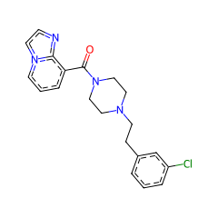 O=C(c1cccn2ccnc12)N1CCN(CCc2cccc(Cl)c2)CC1